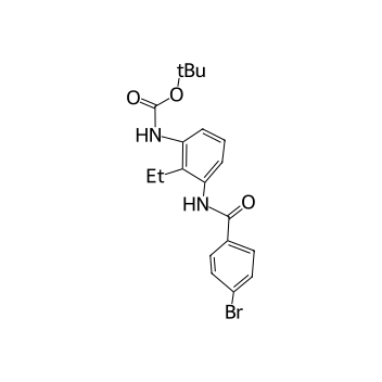 CCc1c(NC(=O)OC(C)(C)C)cccc1NC(=O)c1ccc(Br)cc1